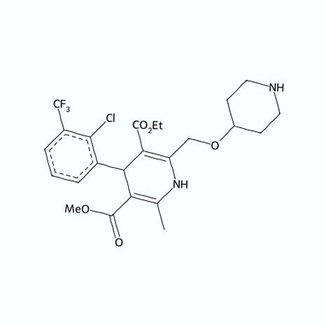 CCOC(=O)C1=C(COC2CCNCC2)NC(C)=C(C(=O)OC)C1c1cccc(C(F)(F)F)c1Cl